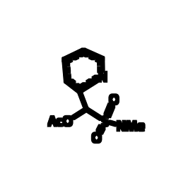 CNS(=O)(=O)C(OC(C)=O)c1ccccn1